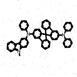 Cn1c2ccccc2c2cc(N(c3ccccc3)c3ccc4c(c3)-c3ccccc3C43c4ccccc4-c4cc(N(c5ccccc5)c5ccccc5)ccc43)ccc21